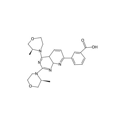 C[C@H]1COCCN1C1=NC2N=C(c3cccc(C(=O)O)c3)C=CC2C(N2CCOC[C@@H]2C)=N1